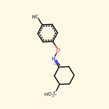 N#Cc1ccc(O/N=C2\CCCC(C(=O)O)C2)cc1